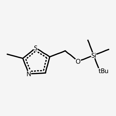 Cc1ncc(CO[Si](C)(C)C(C)(C)C)s1